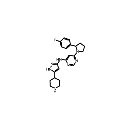 Fc1ccc(C2CCCN2c2cc(Nc3cc(C4CCNCC4)[nH]n3)ncn2)cc1